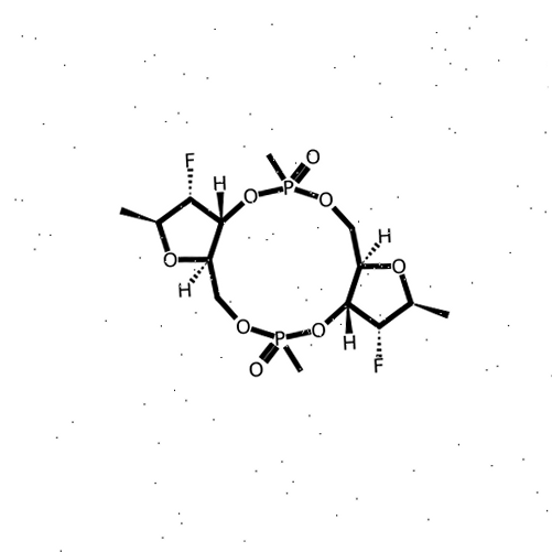 C[C@@H]1O[C@@H]2COP(C)(=O)O[C@H]3[C@@H](F)[C@H](C)O[C@@H]3COP(C)(=O)O[C@H]2[C@H]1F